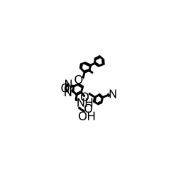 Cc1c(COc2cc(OCc3cccc(C#N)c3)c(CNCC(=O)O)c3nonc23)cccc1-c1ccccc1